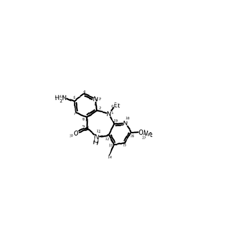 CCN1c2ncc(N)cc2C(=O)Nc2c(C)cc(OC)nc21